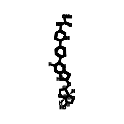 COC(=O)NC1=CNC(c2ccc(-c3nc4cc(O[C@@H]5CO[C@H]6[C@@H]5OC[C@H]6O)[nH]c4cc3F)cc2)C=C1